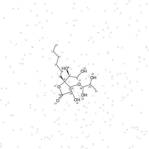 CCCCCC[C@]1([C@@H](O)CO)OC(=O)C(O)=C1OC(O)C(C)O